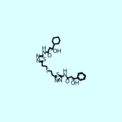 O=C(C[C@@H](O)c1ccccc1)Nc1nnc(CCSCCc2nnc(NC(=O)C[C@@H](O)C3CCCCC3)s2)s1